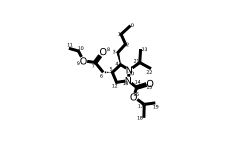 CCCC[C@@H]1[C@@H](CC(=O)OCC)CN(C(=O)OC(C)C)N1C(C)C